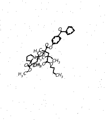 CCCCOC(=O)C(C)(CC)CC(C)(CC(C)(CC(C)(C)C(=O)OC)N1CCCC1=O)C(=O)Oc1ccc(C(=O)c2ccccc2)cc1